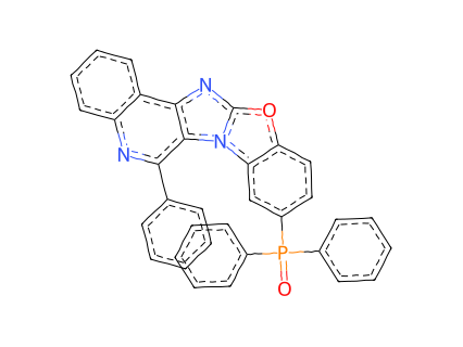 O=P(c1ccccc1)(c1ccccc1)c1ccc2oc3nc4c5ccccc5nc(-c5ccccc5)c4n3c2c1